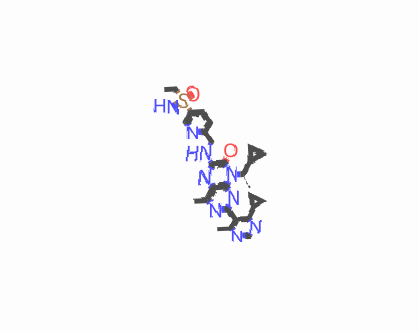 CCS(=N)(=O)c1ccc(CNc2nc3c(C)nc(-c4c(C)ncnc4C4CC4)nc3n([C@@H](C)C3CC3)c2=O)nc1